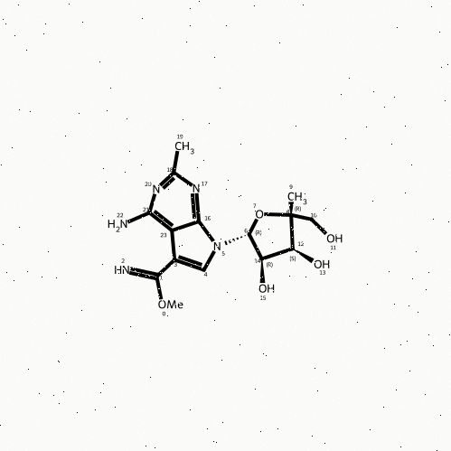 COC(=N)c1cn([C@@H]2O[C@](C)(CO)[C@@H](O)[C@H]2O)c2nc(C)nc(N)c12